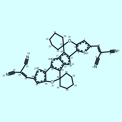 N#CC(C#N)=Cc1cc2c(s1)-c1sc3c4c(sc3c1C1(CCCCC1)O2)-c1sc(C=C(C#N)C#N)cc1OC41CCCCC1